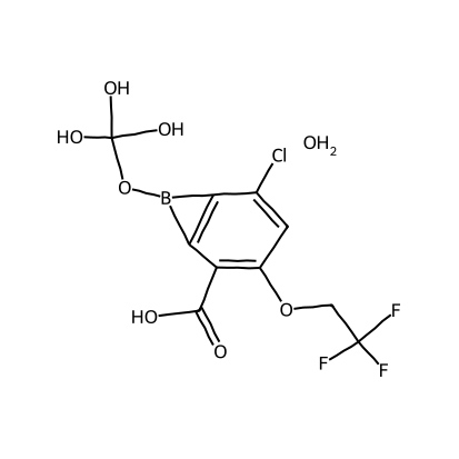 O.O=C(O)c1c(OCC(F)(F)F)cc(Cl)c2c1B2OC(O)(O)O